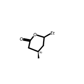 CCC1C[C@@H](C)CC(=O)O1